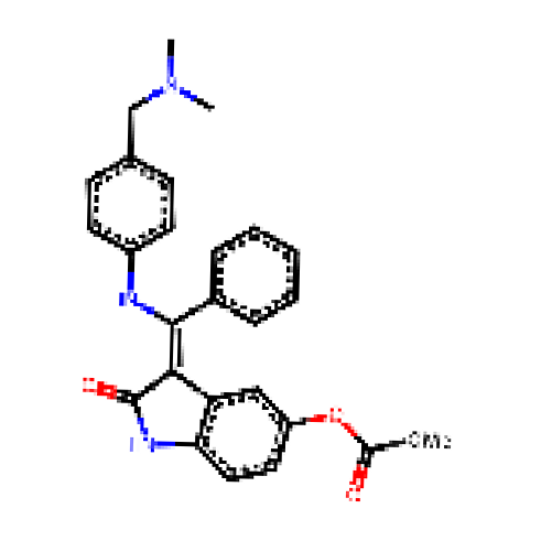 COC(=O)Oc1ccc2c(c1)/C(=C(/Nc1ccc(CN(C)C)cc1)c1ccccc1)C(=O)N2